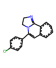 Clc1ccc(C2=Cc3ccccc3C3=NCCN23)cc1